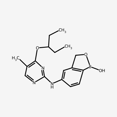 CCC(CC)Oc1nc(Nc2ccc3c(c2)COB3O)ncc1C